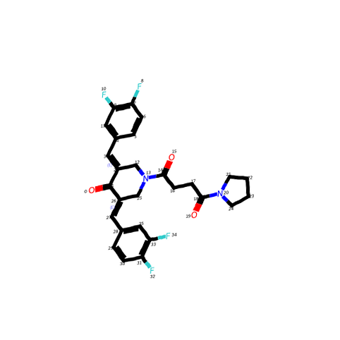 O=C1/C(=C/c2ccc(F)c(F)c2)CN(C(=O)CCC(=O)N2CCCC2)C/C1=C\c1ccc(F)c(F)c1